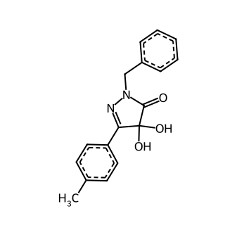 Cc1ccc(C2=NN(Cc3ccccc3)C(=O)C2(O)O)cc1